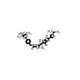 CC(C)n1cc(-c2nc3c([nH]2)=NC(C(C)(C)c2noc(C(=O)NCc4ccc(B5OC(C)(C)C(C)(C)O5)cc4)n2)C=3Br)cn1